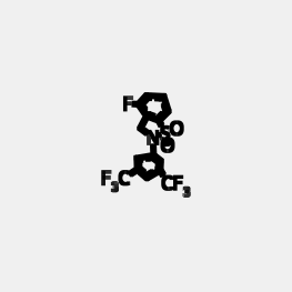 O=S1(=O)c2cccc(F)c2CN1c1cc(C(F)(F)F)cc(C(F)(F)F)c1